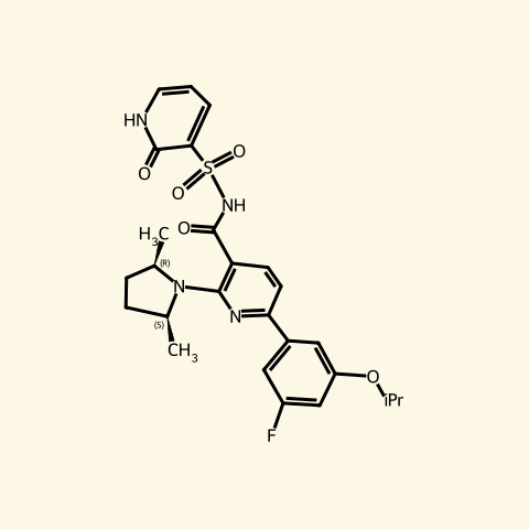 CC(C)Oc1cc(F)cc(-c2ccc(C(=O)NS(=O)(=O)c3ccc[nH]c3=O)c(N3[C@H](C)CC[C@@H]3C)n2)c1